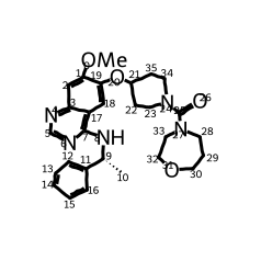 COc1cc2ncnc(N[C@H](C)c3ccccc3)c2cc1OC1CCN(C(=O)N2CCCOCC2)CC1